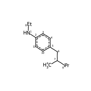 CCNc1ccc(CC(C)C(C)C)cc1